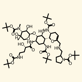 CN(C(=O)OC(C)(C)C)[C@@H]1[C@@H](O)[C@@H](O[C@H]2[C@H](NC(=O)[C@@H](O)CCNC(=O)OC(C)(C)C)C[C@H](NC(=O)OC(C)(C)C)C([C@H]3OC(CNCC4CCCN4C(=O)OC(C)(C)C)=CC[C@H]3NC(=O)OC(C)(C)C)[C@@H]2O)OC[C@]1(C)O